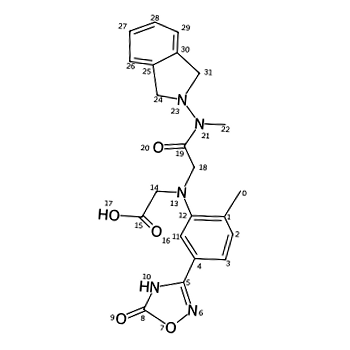 Cc1ccc(-c2noc(=O)[nH]2)cc1N(CC(=O)O)CC(=O)N(C)N1Cc2ccccc2C1